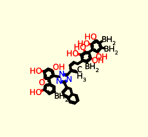 Bc1cc(O)c2oc3c(O)cc(O)c(-c4nc(C5=CC=C6C=CC=CC6C5)nc(C(/C=C\Cc5c(B)c(O)c(-c6c(O)c(B)c(B)c(O)c6O)c(O)c5O)=C/C)n4)c3c2c1